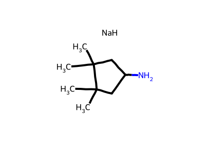 CC1(C)CC(N)CC1(C)C.[NaH]